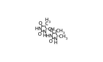 Cc1[nH]c(=O)[nH]c(=O)c1C.Cc1[nH]c(=O)[nH]c(=O)c1C